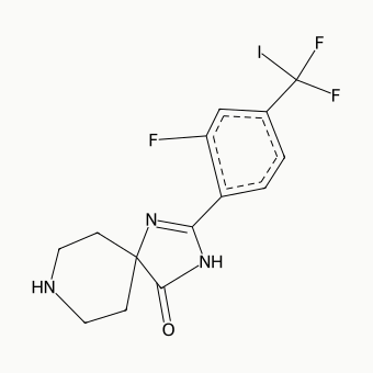 O=C1NC(c2ccc(C(F)(F)I)cc2F)=NC12CCNCC2